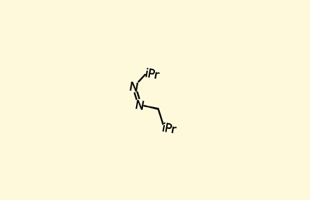 CC(C)C/N=N\C(C)C